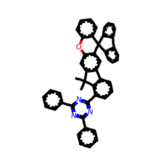 CC1(C)c2cc3c(cc2-c2cccc(-c4nc(-c5ccccc5)nc(-c5ccccc5)n4)c21)C1(c2ccccc2O3)c2ccccc2-c2ccccc21